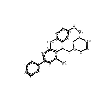 Nc1nc(-c2ccccc2)nc(Nc2ccc(OC(F)(F)F)cc2)c1CCN1CCOCC1